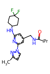 Cc1ccn(-c2cc(CNC(=O)C(C)C)cc(NC3CCC(F)(F)CC3)n2)n1